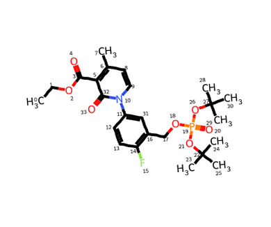 CCOC(=O)c1c(C)ccn(-c2ccc(F)c(COP(=O)(OC(C)(C)C)OC(C)(C)C)c2)c1=O